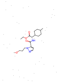 CCOC(=O)[C@@H](NC(=O)c1ccnn1CCCOC)C1CCC(C)CC1